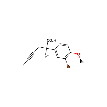 CC#CCC(C(=O)O)(c1ccc(OCC)c(Br)c1)C(C)C